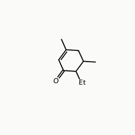 CCC1C(=O)C=C(C)CC1C